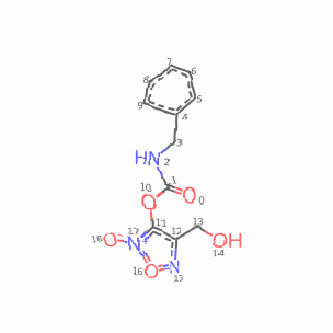 O=C(NCc1ccccc1)Oc1c(CO)no[n+]1[O-]